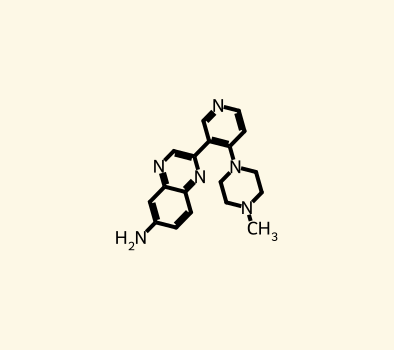 CN1CCN(c2ccncc2-c2cnc3cc(N)ccc3n2)CC1